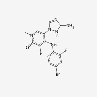 Cn1cc(N2C=NC(N)N2)c(Nc2ccc(Br)cc2F)c(F)c1=O